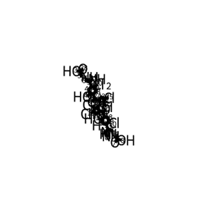 N=N/C(=C\NCC(=O)O)c1cc(O)c(C(=O)c2[nH]c(Cl)c(Cl)c2-n2c(C(=O)c3cc(Cl)c(/C(N)=C/NCC(=O)O)cc3O)cc(Cl)c2Cl)cc1Cl